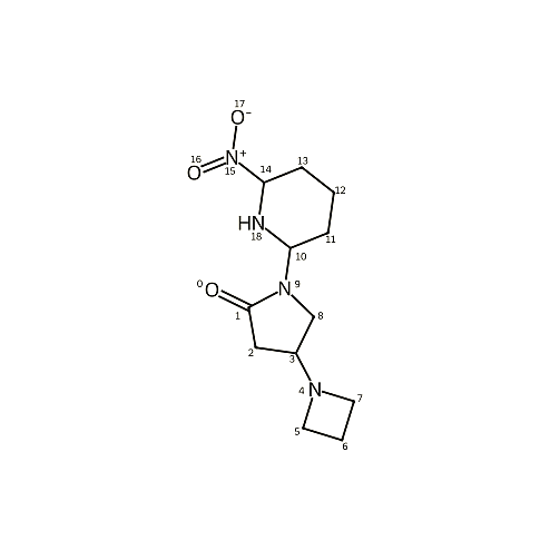 O=C1CC(N2CCC2)CN1C1CCCC([N+](=O)[O-])N1